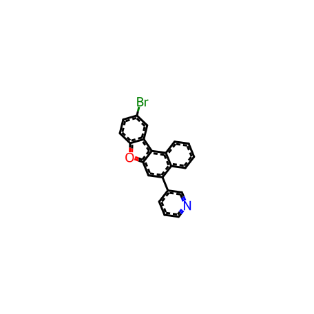 Brc1ccc2oc3cc(-c4cccnc4)c4ccccc4c3c2c1